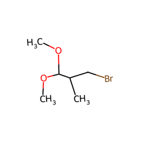 COC(OC)C(C)CBr